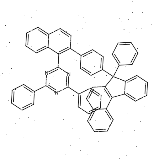 c1ccc(-c2nc(-c3ccccc3)nc(-c3c(-c4ccc(C5(c6ccccc6)c6ccccc6-c6c5ccc5ccccc65)cc4)ccc4ccccc34)n2)cc1